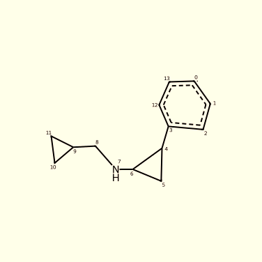 [c]1ccc(C2CC2NCC2CC2)cc1